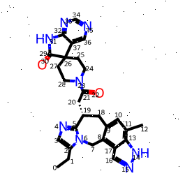 CCc1cnc2n1Cc1c(cc(C)c3[nH]ncc13)C[C@H]2CC(=O)N1CCC2(CC1)C(=O)Nc1ncncc12